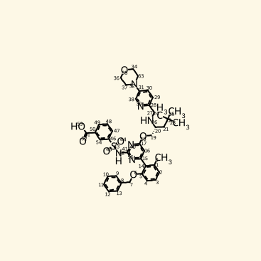 Cc1cccc(OCc2ccccc2)c1-c1cc(OC[C@@H](CC(C)(C)C)NCc2ccc(N3CCOCC3)cn2)nc(NS(=O)(=O)c2cccc(C(=O)O)c2)n1